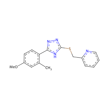 COc1ccc(-c2nnc(SCc3ccccn3)[nH]2)c(C)c1